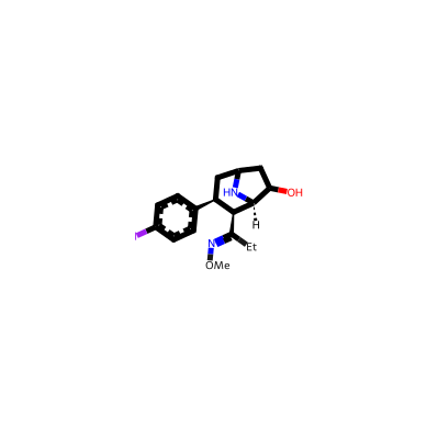 CCC(=NOC)[C@H]1[C@@H](c2ccc(I)cc2)CC2CC(O)[C@@H]1N2